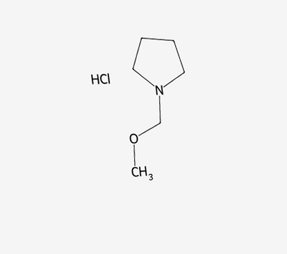 COCN1CCCC1.Cl